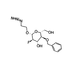 [N-]=[N+]=NCCO[C@@H]1O[C@H](CO)[C@@H](OCc2ccccc2)[C@H](O)[C@H]1F